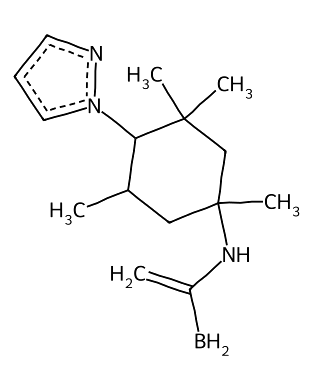 BC(=C)NC1(C)CC(C)C(n2cccn2)C(C)(C)C1